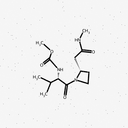 CNC(=O)C[C@@H]1CCN1C(=O)[C@@H](NC(=O)OC)C(C)C